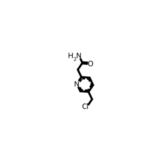 NC(=O)Cc1ccc(CCl)cn1